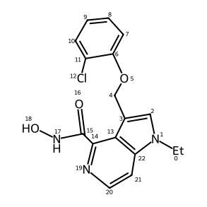 CCn1cc(COc2ccccc2Cl)c2c(C(=O)NO)nccc21